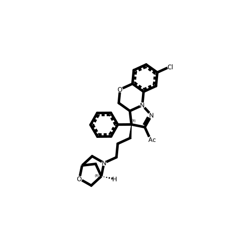 CC(=O)C1=NN2c3cc(Cl)ccc3OCC2[C@@]1(CCCN1CC2C[C@@H]1CO2)c1ccccc1